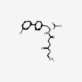 CCOC(=O)CCC(=O)N[C@@H](CC(=O)O)Cc1ccc(-c2cccc(Cl)c2)cc1